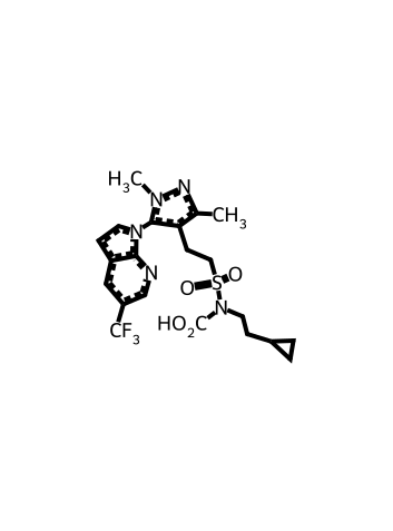 Cc1nn(C)c(-n2ccc3cc(C(F)(F)F)cnc32)c1CCS(=O)(=O)N(CCC1CC1)C(=O)O